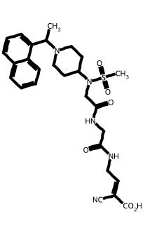 CC(c1cccc2ccccc12)N1CCC(N(CC(=O)NCC(=O)NC/C=C(\C#N)C(=O)O)S(C)(=O)=O)CC1